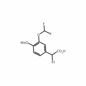 CCC(C(=O)O)c1ccc(OC)c(OC(F)F)c1